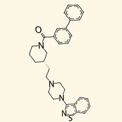 O=C(c1cccc(-c2ccccc2)c1)N1CCC[C@@H](CCN2CCN(c3nsc4ccccc34)CC2)C1